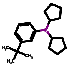 CC(C)(C)c1cccc(P(C2CCCC2)C2CCCC2)c1